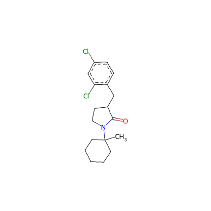 CC1(N2CCC(Cc3ccc(Cl)cc3Cl)C2=O)CCCCC1